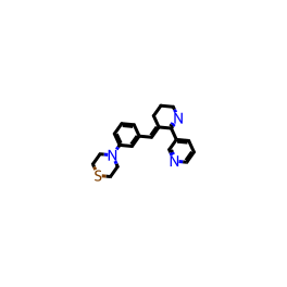 C(=C1CCCN=C1c1cccnc1)c1cccc(N2CCSCC2)c1